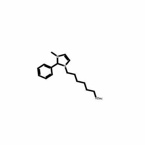 CCCCCCCCCCCCCCCCN1C=CN(C)C1c1ccccc1